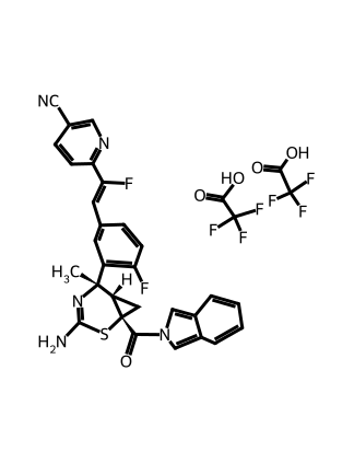 C[C@]1(c2cc(/C=C(\F)c3ccc(C#N)cn3)ccc2F)N=C(N)S[C@@]2(C(=O)n3cc4ccccc4c3)C[C@H]21.O=C(O)C(F)(F)F.O=C(O)C(F)(F)F